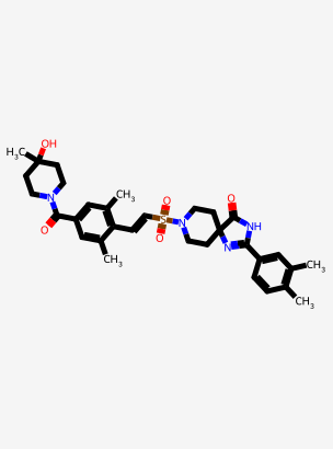 Cc1ccc(C2=NC3(CCN(S(=O)(=O)C=Cc4c(C)cc(C(=O)N5CCC(C)(O)CC5)cc4C)CC3)C(=O)N2)cc1C